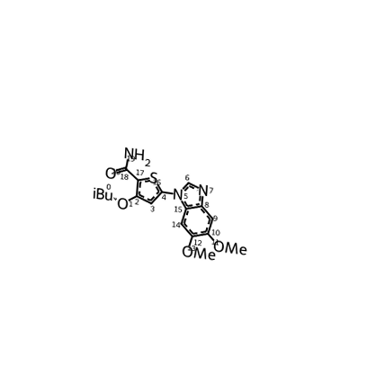 CC[C@@H](C)Oc1cc(-n2cnc3cc(OC)c(OC)cc32)sc1C(N)=O